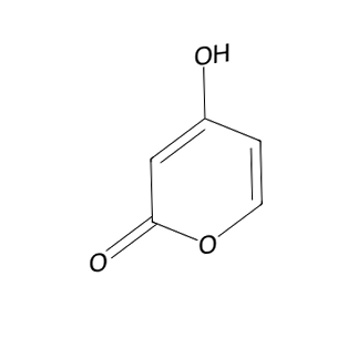 O=c1cc(O)cco1